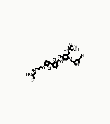 CN(CCCOc1cccc(-c2cccc(COc3cc(OCc4cncc(C#N)c4)c(CNC(C)(CO)C(=O)O)cc3Cl)c2Cl)c1Cl)CC(O)CO